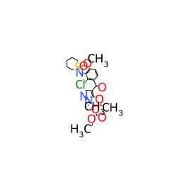 CCOC(=O)OC(C)Oc1c(C(=O)c2ccc(OC)c(N=S3(=O)CCCCC3)c2Cl)cnn1C